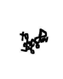 CCOC(=O)[C@@H]1C[C@]2(CN1C(=O)OC(C)(C)C)CC1(CCCC1)NC2=O